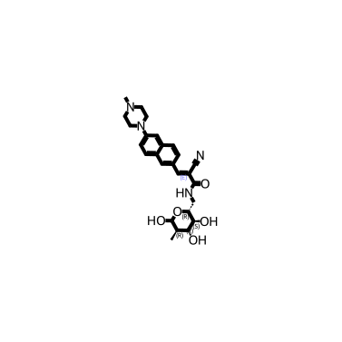 C[C@H]1C(O)O[C@H](CNC(=O)/C(C#N)=C/c2ccc3cc(N4CCN(C)CC4)ccc3c2)[C@@H](O)[C@@H]1O